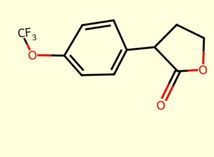 O=C1OCCC1c1ccc(OC(F)(F)F)cc1